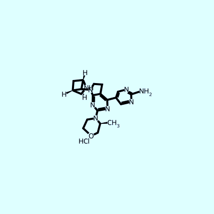 C[C@H]1COCCN1c1nc(-c2cnc(N)nc2)c2c(n1)N([C@H]1[C@@H]3CN[C@H]1C3)CC2.Cl